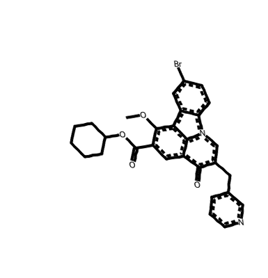 COc1c(C(=O)OC2CCCCC2)cc2c(=O)c(Cc3cccnc3)cn3c4ccc(Br)cc4c1c23